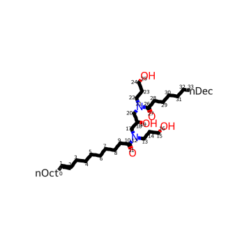 CCCCCCCCC=CCCCCCCCC(=O)N(CCCO)CC(O)CN(CCCO)C(=O)CCCCCCCCCCCCCCC